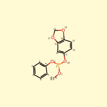 CCOP(Oc1ccccc1)Oc1ccc2c(c1)OCO2